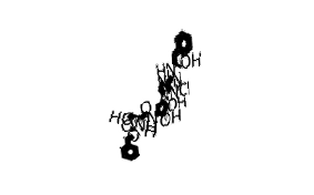 O=C(N[C@@H](CO)C(=O)N[C@H]1C[C@@H](n2cnc3c(N[C@H](CO)Cc4ccccc4)nc(Cl)nc32)[C@H](O)[C@@H]1O)OCc1ccccc1